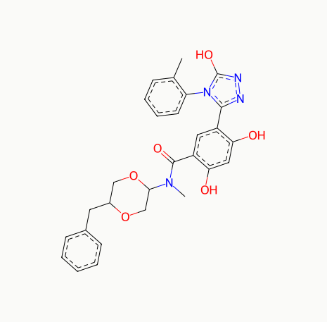 Cc1ccccc1-n1c(O)nnc1-c1cc(C(=O)N(C)C2COC(Cc3ccccc3)CO2)c(O)cc1O